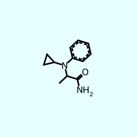 CC(C(N)=O)N(c1ccccc1)C1CC1